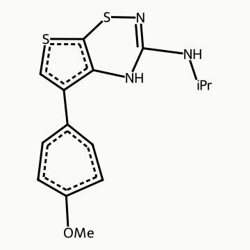 COc1ccc(-c2csc3c2NC(NC(C)C)=NS3)cc1